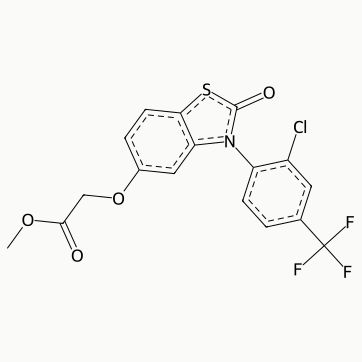 COC(=O)COc1ccc2sc(=O)n(-c3ccc(C(F)(F)F)cc3Cl)c2c1